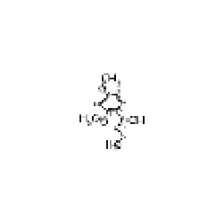 COc1ccc([C@@H](O)CCO)c(OC)c1